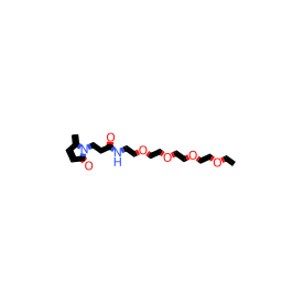 C=C1C=CC(=O)N1CCC(=O)NCCOCCOCCOCCOCC